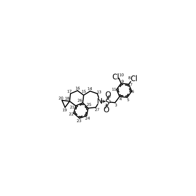 O=S(=O)(Cc1ccc(Cl)c(Cl)c1)N1CCC2CCC3(CC3)c3cccc(c32)C1